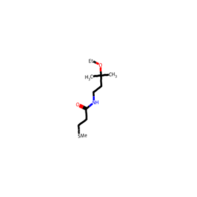 CCOC(C)(C)CCNC(=O)CCSC